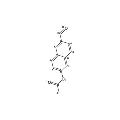 CC(=O)Oc1ccc2cc([C]=O)ccc2c1